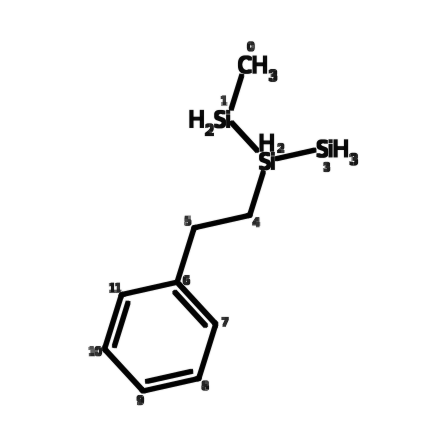 C[SiH2][SiH]([SiH3])CCc1ccccc1